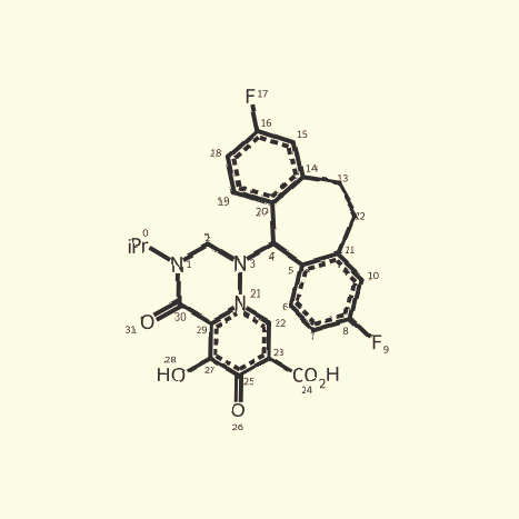 CC(C)N1CN(C2c3ccc(F)cc3CCc3cc(F)ccc32)n2cc(C(=O)O)c(=O)c(O)c2C1=O